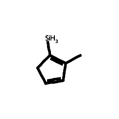 CC1=C([SiH3])CC=C1